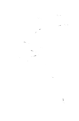 CCc1nc2c(s1)[C@@H]1C[C@@H](O[C@@H]3OC(C)[C@H](OC)C(OC)C3OC)C[C@H]1[C@@H]1C=C3C(=O)[C@H](C)[C@@H](O[C@H]4CC[C@H](N(C)C)C(C)O4)CCC[C@H](CC)OC(=O)C[C@H]3[C@H]21